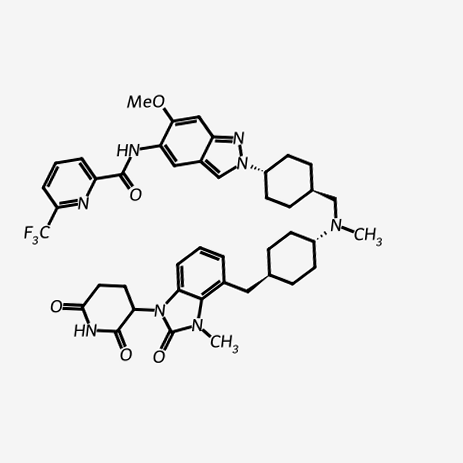 COc1cc2nn([C@H]3CC[C@H](CN(C)[C@H]4CC[C@H](Cc5cccc6c5n(C)c(=O)n6C5CCC(=O)NC5=O)CC4)CC3)cc2cc1NC(=O)c1cccc(C(F)(F)F)n1